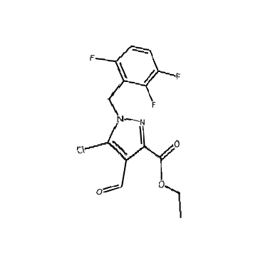 CCOC(=O)c1nn(Cc2c(F)ccc(F)c2F)c(Cl)c1C=O